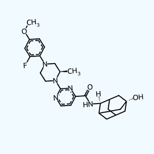 COc1ccc(N2CCN(c3nccc(C(=O)N[C@H]4C5CC6CC4C[C@](O)(C6)C5)n3)[C@H](C)C2)c(F)c1